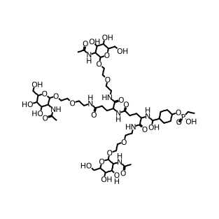 CCP(=O)(O)OC1CCC(C(O)NC(CCC(=O)NC(CCC(=O)NCCOCCOC2OC(CO)C(O)C(O)C2NC(C)=O)C(=O)NCCOCCOC2OC(CO)C(O)C(O)C2NC(C)=O)C(=O)NCCOCCOC2OC(CO)C(O)C(O)C2NC(C)=O)CC1